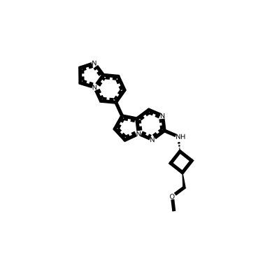 COC[C@H]1C[C@H](Nc2ncc3c(-c4ccc5nccn5c4)ccn3n2)C1